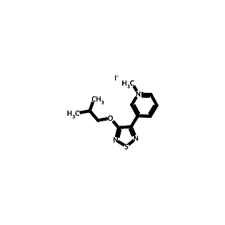 CC(C)COc1nsnc1-c1ccc[n+](C)c1.[I-]